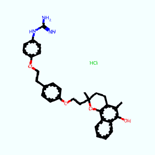 Cc1c2c(c3ccccc3c1O)OC(C)(CCOc1ccc(CCOc3ccc(NC(=N)N)cc3)cc1)CC2.Cl